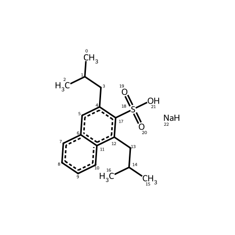 CC(C)Cc1cc2ccccc2c(CC(C)C)c1S(=O)(=O)O.[NaH]